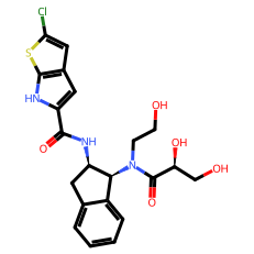 O=C(N[C@@H]1Cc2ccccc2[C@@H]1N(CCO)C(=O)[C@@H](O)CO)c1cc2cc(Cl)sc2[nH]1